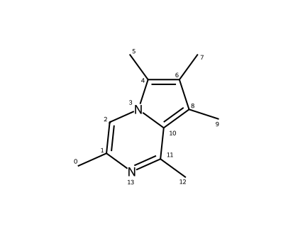 Cc1cn2c(C)c(C)c(C)c2c(C)n1